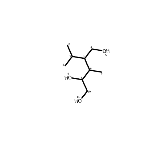 CC(C)C(CO)C(C)C(O)CO